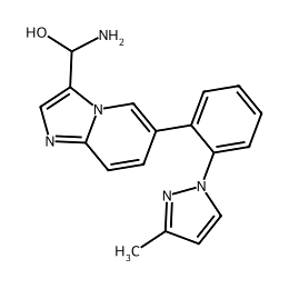 Cc1ccn(-c2ccccc2-c2ccc3ncc(C(N)O)n3c2)n1